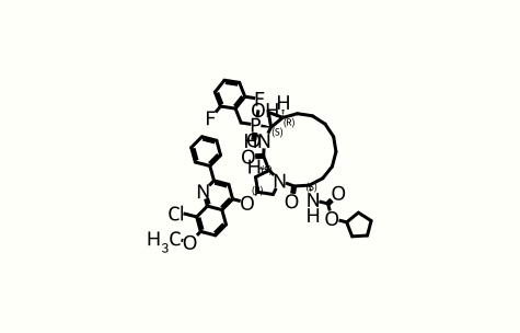 COc1ccc2c(O[C@@H]3C[C@H]4C(=O)N[C@]5(P(=O)(O)Cc6c(F)cccc6F)C[C@H]5CCCCCCC[C@H](NC(=O)OC5CCCC5)C(=O)N4C3)cc(-c3ccccc3)nc2c1Cl